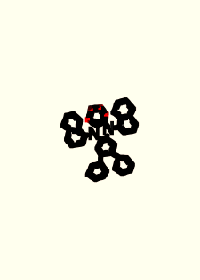 c1ccc(-c2cc(N(c3ccccc3)c3cccc4ccccc34)c(N(c3ccccc3)c3cccc4ccccc34)cc2-c2ccccc2)cc1